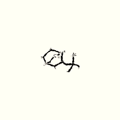 CC(=O)C(C)(C)C1CN2CCN1CC2